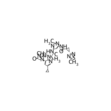 Cc1nc(NC(=O)[C@H]2C[C@@H]2c2nsc(C)n2)cc(N[C@H](C)c2cn3cc(C4CC4)cc(N4CC(=O)N(C)C4=O)c3n2)n1